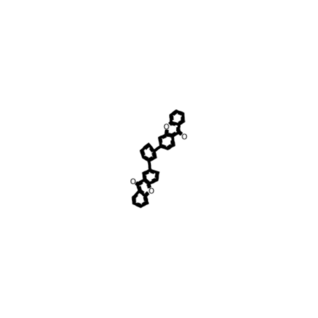 O=c1c2ccccc2oc2cc(-c3cccc(-c4ccc5oc6ccccc6c(=O)c5c4)c3)ccc12